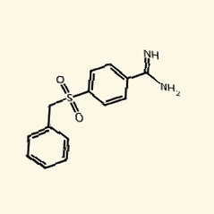 N=C(N)c1ccc(S(=O)(=O)Cc2ccccc2)cc1